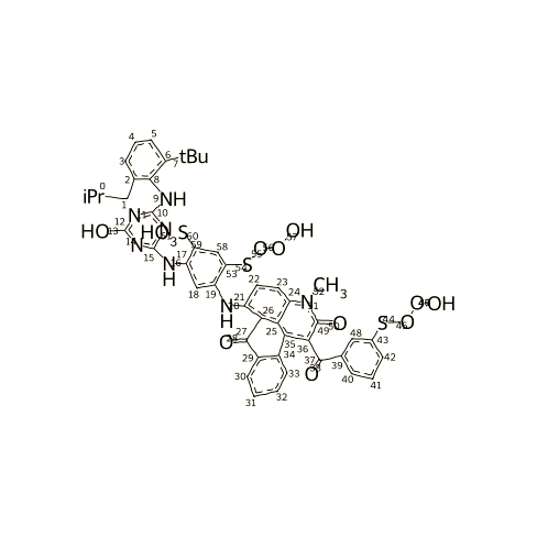 CC(C)Cc1cccc(C(C)(C)C)c1Nc1nc(O)nc(Nc2cc(Nc3ccc4c5c3C(=O)c3ccccc3-c5c(C(=O)c3cccc(SOOO)c3)c(=O)n4C)c(SOOO)cc2S(=O)(=O)O)n1